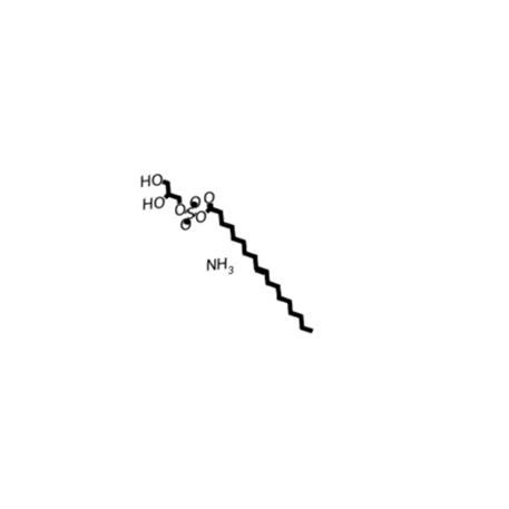 CCCCCCCCC=CCCCCCCCC(=O)OS(=O)(=O)OCC(O)CO.N